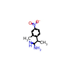 Cc1cc([N+](=O)[O-])ccc1C(C)C(=N)N